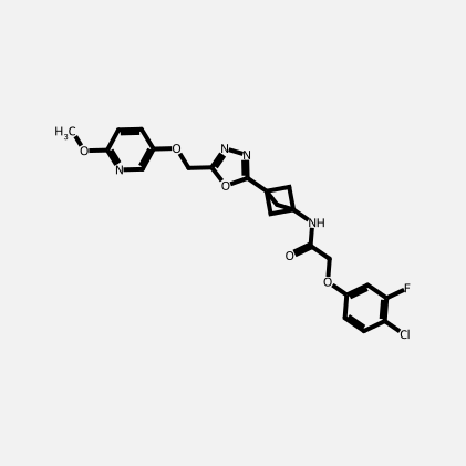 COc1ccc(OCc2nnc(C34CC(NC(=O)COc5ccc(Cl)c(F)c5)(C3)C4)o2)cn1